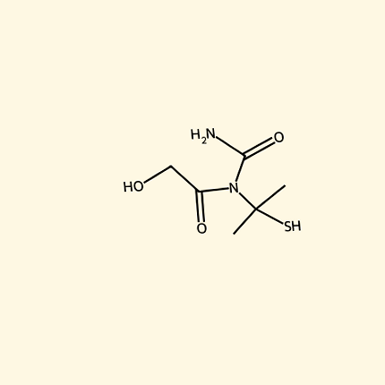 CC(C)(S)N(C(N)=O)C(=O)CO